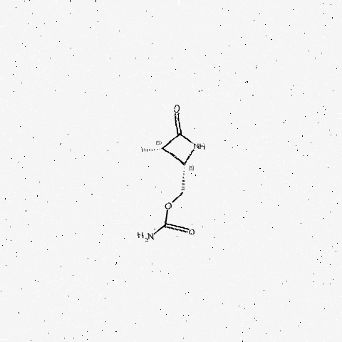 C[C@@H]1C(=O)N[C@@H]1COC(N)=O